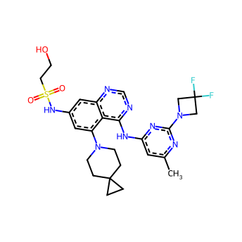 Cc1cc(Nc2ncnc3cc(NS(=O)(=O)CCO)cc(N4CCC5(CC4)CC5)c23)nc(N2CC(F)(F)C2)n1